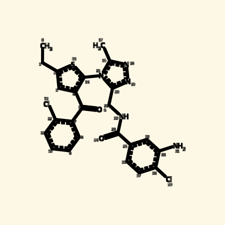 CCc1cc(C(=O)c2ccccc2Cl)c(-n2c(C)nnc2CNC(=O)c2ccc(Cl)c(N)c2)s1